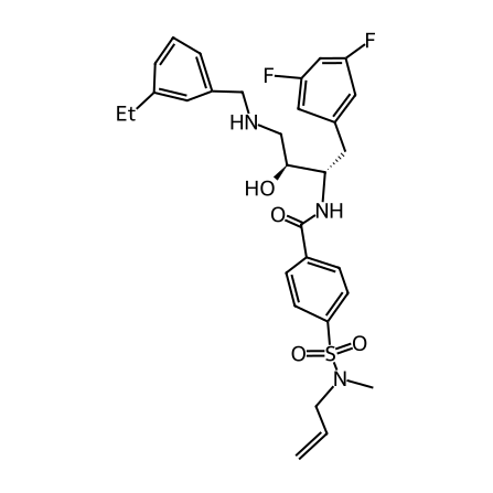 C=CCN(C)S(=O)(=O)c1ccc(C(=O)N[C@@H](Cc2cc(F)cc(F)c2)[C@@H](O)CNCc2cccc(CC)c2)cc1